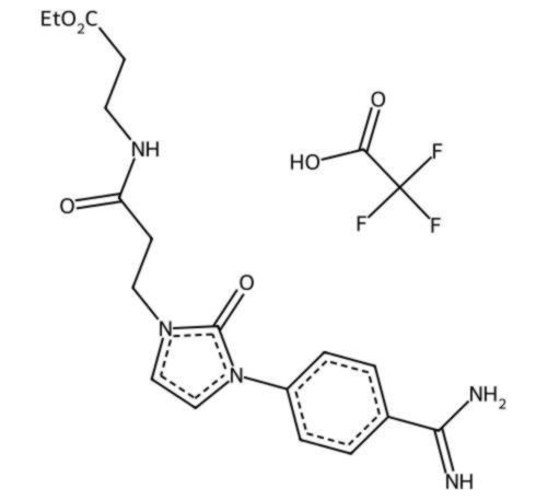 CCOC(=O)CCNC(=O)CCn1ccn(-c2ccc(C(=N)N)cc2)c1=O.O=C(O)C(F)(F)F